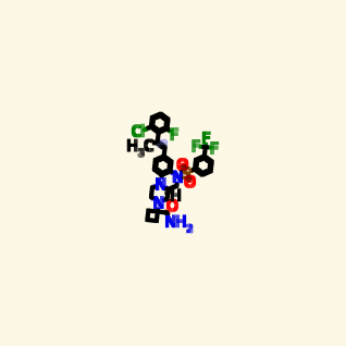 C/C(=C\c1ccc2c(c1)N(S(=O)(=O)c1cccc(C(F)(F)F)c1)C[C@@H]1CN(C3(C(N)=O)CCC3)CCN21)c1c(F)cccc1Cl